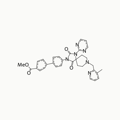 COC(=O)c1ccc(-c2ccc(N3C(=O)N(c4ncccn4)C4(CCN(Cc5ncccc5C)CC4)C3=O)cc2)cc1